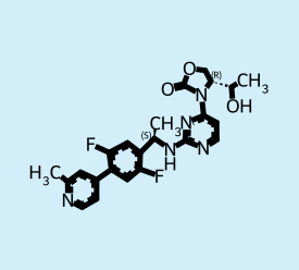 Cc1cc(-c2cc(F)c([C@H](C)Nc3nccc(N4C(=O)OC[C@@H]4C(C)O)n3)cc2F)ccn1